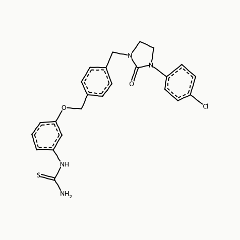 NC(=S)Nc1cccc(OCc2ccc(CN3CCN(c4ccc(Cl)cc4)C3=O)cc2)c1